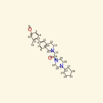 COc1ccc(-c2ccc3c(c2)CCN(CC(=O)N2CCN(C4CCCCC4)CC2)C3)c(C)c1